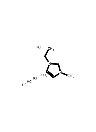 CCN1C=CN(C)C1.Cl.Cl.Cl.Cl.[AlH3]